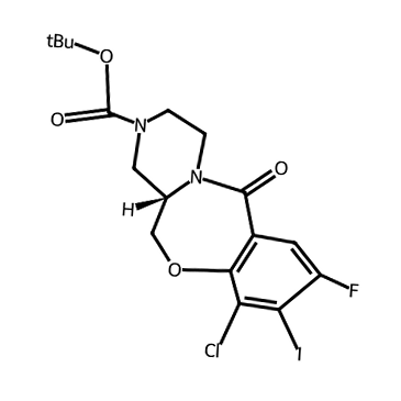 CC(C)(C)OC(=O)N1CCN2C(=O)c3cc(F)c(I)c(Cl)c3OC[C@@H]2C1